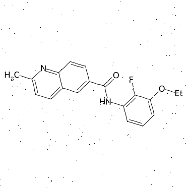 CCOc1cccc(NC(=O)c2ccc3nc(C)ccc3c2)c1F